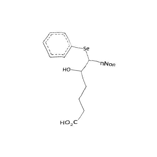 CCCCCCCCCC([Se]c1ccccc1)C(O)CCCC(=O)O